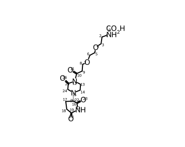 O=C(O)NCCOCCOCCC(=O)N1CCN([C@H]2CCC(=O)NC2=O)CC1=O